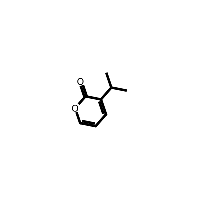 CC(C)c1cccoc1=O